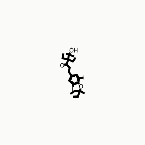 CCC(C)(CC)Oc1c(I)cc(CCC(=O)C(CC)(CC)C(C)(C)O)cc1I